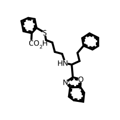 O=C(O)c1ccccc1SCCCCNC(CCc1ccccc1)c1nc2ccccc2o1